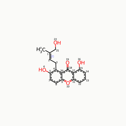 C/C(=C/Cc1c(O)ccc2oc3cccc(O)c3c(=O)c12)CO